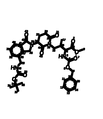 COC(=O)C(NC(=O)OCc1ccccc1)C(C)CN1C(=O)CCC(N2Cc3c(CNC(=O)OC(C)(C)C)cccc3C2=O)C1=O